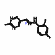 Cc1ccc(N/N=C/c2cnc(C)nc2)c(C)c1